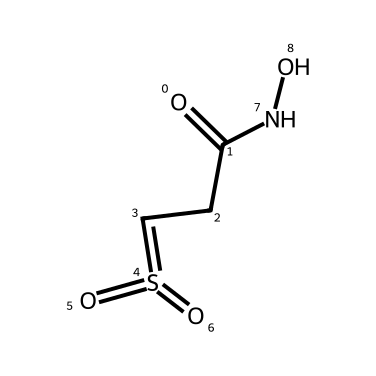 O=C(CC=S(=O)=O)NO